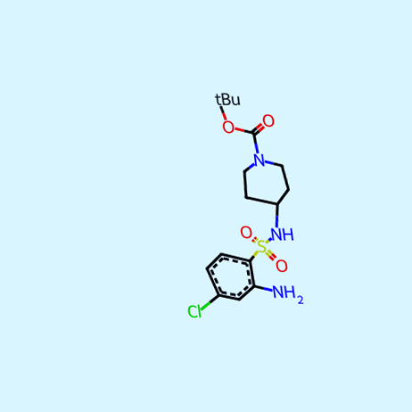 CC(C)(C)OC(=O)N1CCC(NS(=O)(=O)c2ccc(Cl)cc2N)CC1